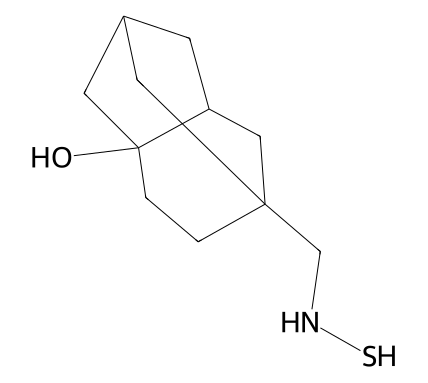 OC12CCC3(CNS)CC(CC1C3)C2